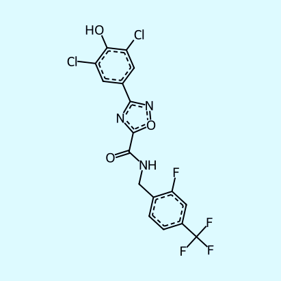 O=C(NCc1ccc(C(F)(F)F)cc1F)c1nc(-c2cc(Cl)c(O)c(Cl)c2)no1